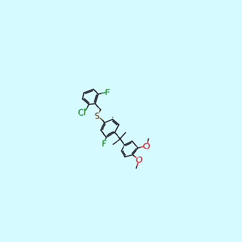 COc1ccc(C(C)(C)c2c[c]c(SCc3c(F)cccc3Cl)cc2F)cc1OC